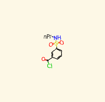 CCCNS(=O)(=O)c1cccc(C(=O)Cl)c1